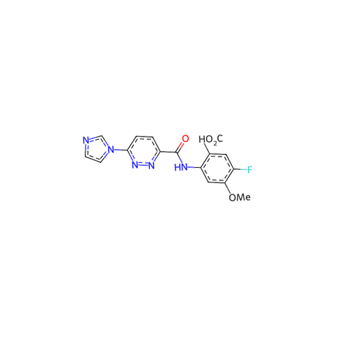 COc1cc(NC(=O)c2ccc(-n3ccnc3)nn2)c(C(=O)O)cc1F